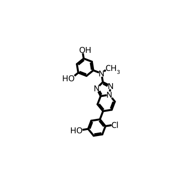 CN(c1cc(O)cc(O)c1)c1nc2cc(-c3cc(O)ccc3Cl)ccn2n1